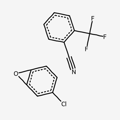 Clc1ccc2c(c1)O2.N#Cc1ccccc1C(F)(F)F